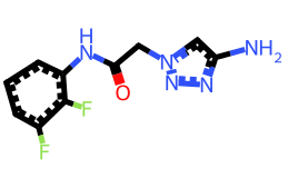 Nc1cn(CC(=O)Nc2cccc(F)c2F)nn1